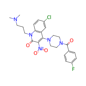 CN(C)CCCn1c(=O)c([N+](=O)[O-])c(N2CCN(C(=O)c3ccc(F)cc3)CC2)c2cc(Cl)ccc21